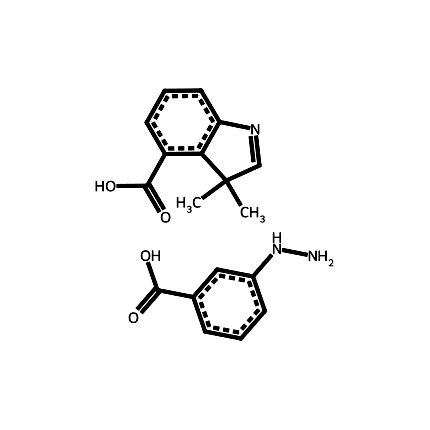 CC1(C)C=Nc2cccc(C(=O)O)c21.NNc1cccc(C(=O)O)c1